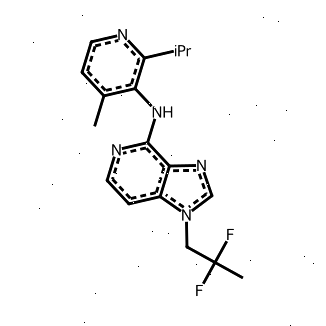 Cc1ccnc(C(C)C)c1Nc1nccc2c1ncn2CC(C)(F)F